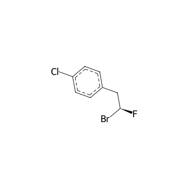 F[C@@H](Br)Cc1ccc(Cl)cc1